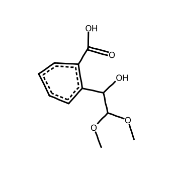 COC(OC)C(O)c1ccccc1C(=O)O